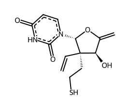 C=C[C@]1(CCS)[C@H](O)C(=C)O[C@H]1n1ccc(=O)[nH]c1=O